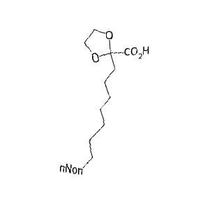 CCCCCCCCCCCCCCCCC1(C(=O)O)OCCO1